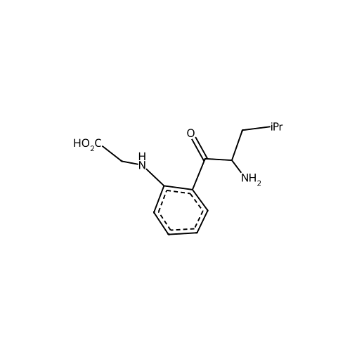 CC(C)CC(N)C(=O)c1ccccc1NCC(=O)O